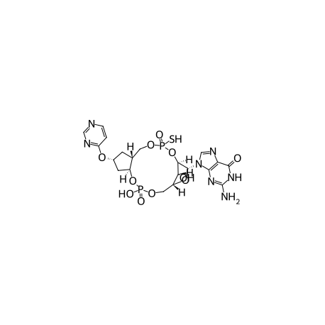 Nc1nc2c(ncn2[C@@H]2O[C@@H]3COP(=O)(O)O[C@H]4C[C@H](Oc5ccncn5)C[C@@H]4COP(=O)(S)O[C@@H]2[C@@H]3O)c(=O)[nH]1